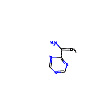 C=C(N)c1ncncn1